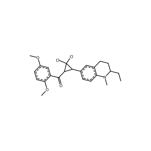 CCC1CCc2cc(C3C(C(=O)c4cc(OC)ccc4OC)C3(Cl)Cl)ccc2N1C